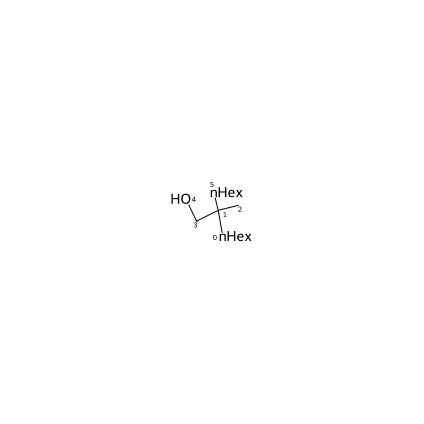 CCCCCCC(C)(CO)CCCCCC